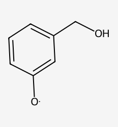 [O]c1cccc(CO)c1